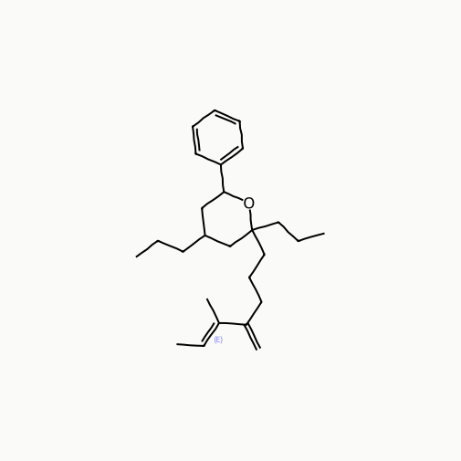 C=C(CCCC1(CCC)CC(CCC)CC(c2ccccc2)O1)/C(C)=C/C